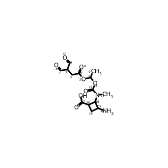 CC(OC(=O)CC(C=O)C=O)OC(=O)N(C)C1C(N)CC1C(=O)O